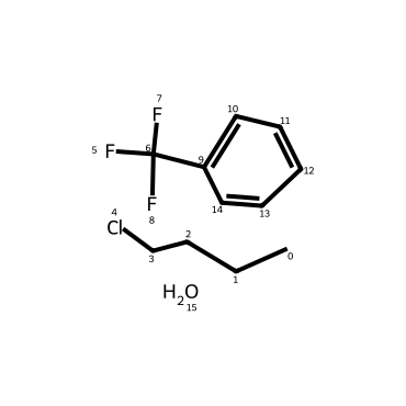 CCCCCl.FC(F)(F)c1ccccc1.O